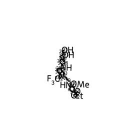 CCS(=O)(=O)c1ccc(NCC#Cc2cc3c(NC4CCN(CC(O)CO)CC4)cccc3n2CC(F)(F)F)c(OC)c1